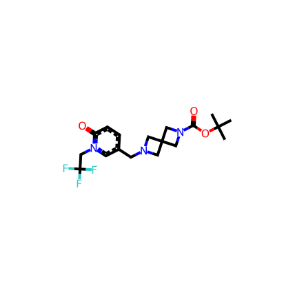 CC(C)(C)OC(=O)N1CC2(CN(Cc3ccc(=O)n(CC(F)(F)F)c3)C2)C1